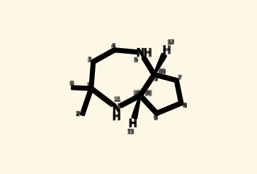 CC1(C)CCN[C@@H]2CCC[C@@H]2N1